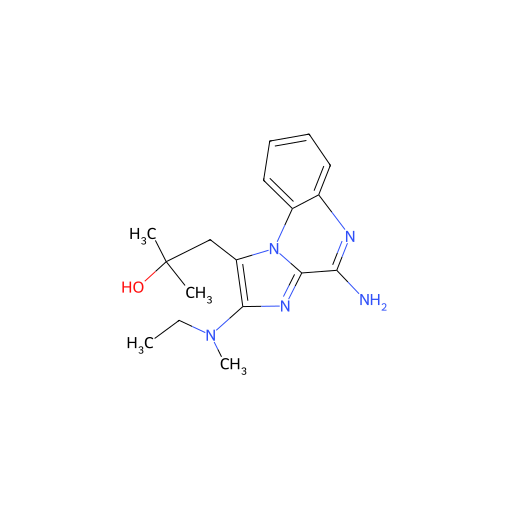 CCN(C)c1nc2c(N)nc3ccccc3n2c1CC(C)(C)O